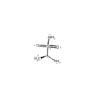 C[C@H](N)S(N)(=O)=O